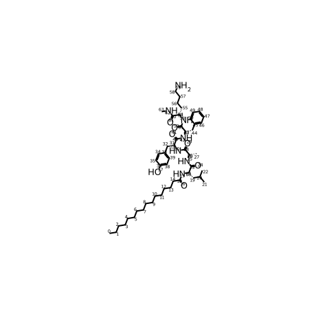 CCCCCCCCCCCCCCCC(=O)N[C@@H](CC(C)C)C(=O)N[C@@H](C)C(=O)N[C@@H](Cc1ccc(O)cc1)C(=O)N[C@@H](Cc1ccccc1)C(=O)N[C@@H](CCCCN)C(=O)NC